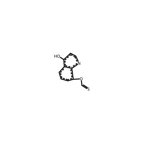 Oc1ccnc2c(OC=S)cccc12